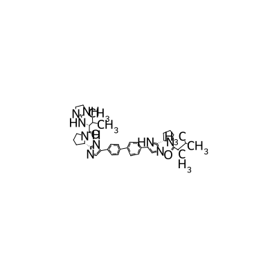 CC(C)[C@H](C)C(=O)N1CCC[C@H]1c1ncc(-c2ccc(-c3ccc(-c4cnc([C@@H]5CCCN5C(=O)[C@H](NC5=NCCN5)C(C)C)[nH]4)cc3)cc2)[nH]1